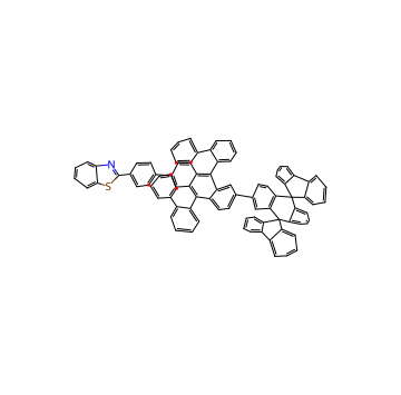 c1ccc(-c2ccccc2-c2c3ccc(-c4ccc5c(c4)C4(c6ccccc6-c6ccccc64)c4ccccc4C54c5ccccc5-c5ccccc54)cc3c(-c3ccccc3-c3ccccc3)c3ccc(-c4ccc(-c5nc6ccccc6s5)cc4)cc23)cc1